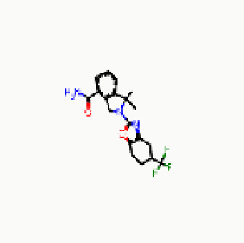 CC1(C)c2cccc(C(N)=O)c2CN1c1nc2c(o1)CCC(C(F)(F)F)C2